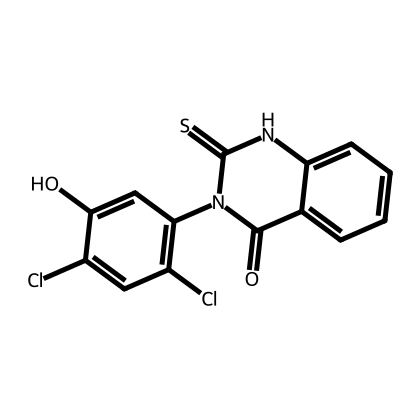 O=c1c2ccccc2[nH]c(=S)n1-c1cc(O)c(Cl)cc1Cl